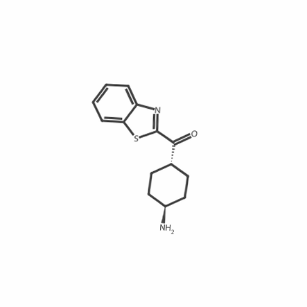 N[C@H]1CC[C@H](C(=O)c2nc3ccccc3s2)CC1